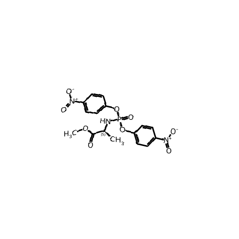 COC(=O)[C@H](C)NP(=O)(Oc1ccc([N+](=O)[O-])cc1)Oc1ccc([N+](=O)[O-])cc1